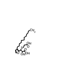 CCCCCCCCCCCCc1ccoc1C(SCCC(=O)O)C(O)C(=O)O